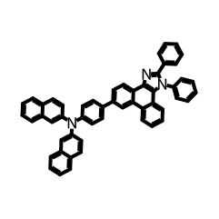 c1ccc(-c2nc3c4ccc(-c5ccc(N(c6ccc7ccccc7c6)c6ccc7ccccc7c6)cc5)cc4c4ccccc4c3n2-c2ccccc2)cc1